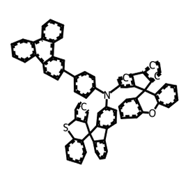 c1ccc2c(c1)Oc1ccccc1C21c2ccccc2-c2ccc(N(c3ccc(-c4ccc5c6ccccc6c6ccccc6c5c4)cc3)c3ccc4c(c3)C3(c5ccccc5Sc5ccccc53)c3ccccc3-4)cc21